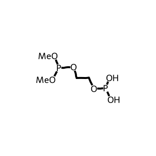 COP(OC)OCCOP(O)O